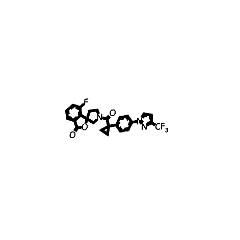 O=C1OC2(CCN(C(=O)C3(c4ccc(-n5ccc(C(F)(F)F)n5)cc4)CC3)C2)c2c(F)cccc21